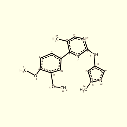 COc1ccc(-c2nc(Nc3cnn(C)c3)ncc2C)cc1OC